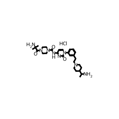 CC(N)C1CCN(CCc2cccc(-n3ccc(NC(=O)N4CCN(C(=O)C(C)(C)N)CC4)nc3=O)c2)CC1.Cl